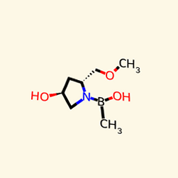 COC[C@H]1C[C@H](O)CN1B(C)O